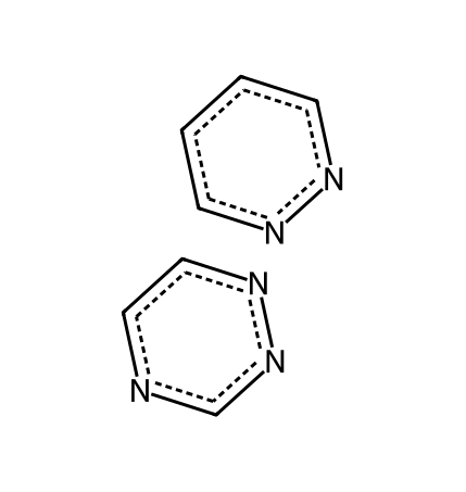 c1ccnnc1.c1cnncn1